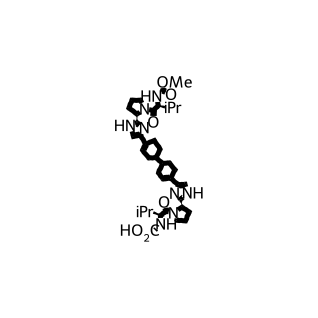 COC(=O)N[C@H](C(=O)N1CCC[C@H]1c1nc(C2=CCC(C3CC=C(c4c[nH]c([C@@H]5CCCN5C(=O)[C@@H](NC(=O)O)C(C)C)n4)CC3)CC2)c[nH]1)C(C)C